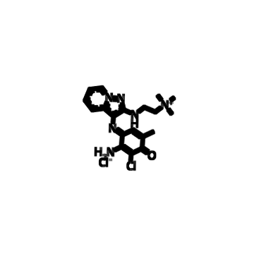 CC1=C/C(=N\c2c(NCC[N+](C)(C)C)nn3ccccc23)C(N)=C(Cl)C1=O.[Cl-]